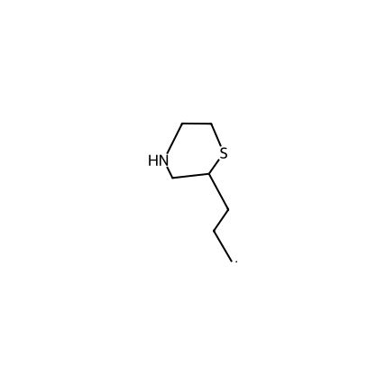 [CH2]CCC1CNCCS1